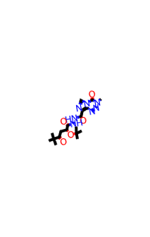 Cn1nnc2c(C(=O)NNC(=O)C(CC(=O)C(C)(C)C)OC(C)(C)C)ncn2c1=O